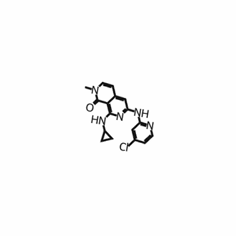 Cn1ccc2cc(Nc3cc(Cl)ccn3)nc(NC3CC3)c2c1=O